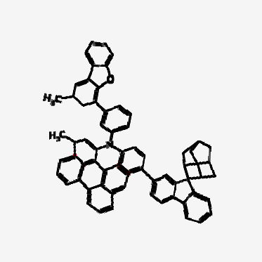 CC1C=C(N(c2ccc(-c3ccc4c(c3)C3(c5ccccc5-4)C4CC5CC6CC3C64C5)cc2)c2cccc(C3=c4oc5ccccc5c4=CC(C)C3)c2)C(c2cccc3cccc(-c4ccccc4)c23)=CC1